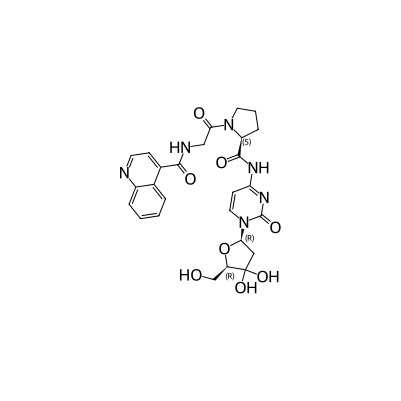 O=C(NCC(=O)N1CCC[C@H]1C(=O)Nc1ccn([C@H]2CC(O)(O)[C@@H](CO)O2)c(=O)n1)c1ccnc2ccccc12